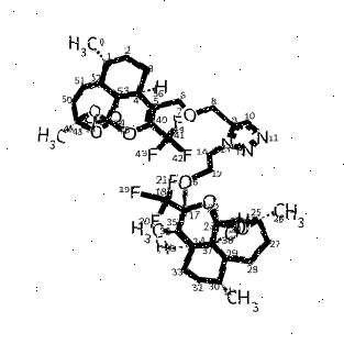 C[C@@H]1CC[C@H]2C(COCc3cnnn3CCO[C@@]3(C(F)(F)F)O[C@@H]4O[C@]5(C)CCC6[C@H](C)CC[C@@H]([C@H]3C)[C@]64OO5)=C(C(F)(F)F)O[C@@H]3O[C@]4(C)CCC1[C@]32OO4